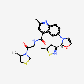 Cc1cc(C(=O)NCC(=O)N2CSCC2C#N)c2cc(N3C=CO[C@@H]3C3=NSC(C)C3)ccc2n1